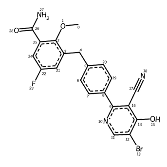 COc1c(Cc2ccc(-c3ncc(Br)c(O)c3C#N)cc2)cc(F)cc1C(N)=O